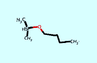 [CH2]CCCO[SiH](C)C